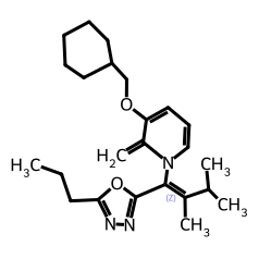 C=C1C(OCC2CCCCC2)=CC=CN1/C(=C(/C)C(C)C)c1nnc(CCC)o1